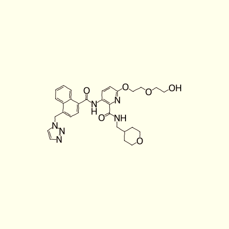 O=C(NCC1CCOCC1)c1nc(OCCOCCO)ccc1NC(=O)c1ccc(Cn2ccnn2)c2ccccc12